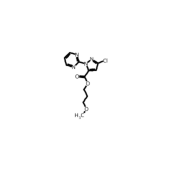 COCCCOC(=O)c1cc(Cl)nn1-c1ncccn1